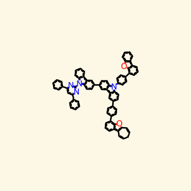 C1=Cc2oc3c(-c4ccc(-c5ccc6c(c5)c5cc(-c7ccc8c(c7)c7ccccc7n8-c7nc(-c8ccccc8)cc(-c8ccccc8)n7)ccc5n6-c5ccc(-c6cccc7c6oc6ccccc67)cc5)cc4)cccc3c2C=CC1